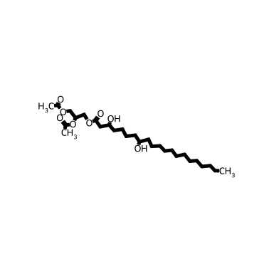 CCCCCCCCCCCCCC(O)CCCCC(O)CC(=O)OCC(COC(C)=O)OC(C)=O